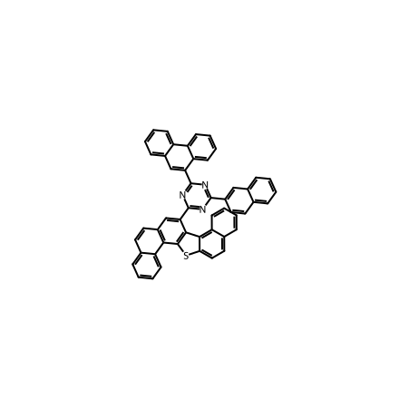 c1ccc2cc(-c3nc(-c4cc5ccccc5c5ccccc45)nc(-c4cc5ccc6ccccc6c5c5sc6ccc7ccccc7c6c45)n3)ccc2c1